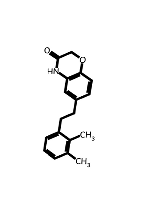 Cc1cccc(CCc2ccc3c(c2)NC(=O)CO3)c1C